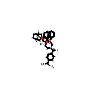 Cc1nc2ccccc2n1C1C[C@H]2CC[C@@H](C1)N2CCC1(c2ccccc2)CCN(C(=O)c2ccc(C(C)C)cc2)CC1